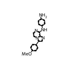 COc1ccc(-c2cnc3c(Nc4ccc(N)cc4)nccn23)cc1